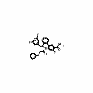 NC(=O)c1cc(-c2cccnc2C(Cc2cc(F)cc(F)c2)NC(=O)COc2ccccc2)ccc1F